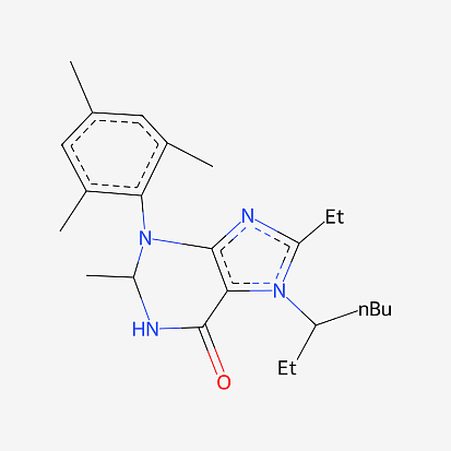 CCCCC(CC)n1c(CC)nc2c1C(=O)NC(C)N2c1c(C)cc(C)cc1C